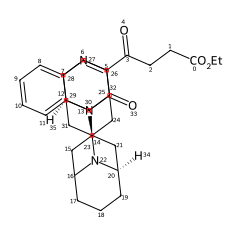 CCOC(=O)CCC(=O)c1nc2ccccc2n([C@@H]2CC3CCC[C@H](C2)N3C2CC3CCC[C@@H](C3)C2)c1=O